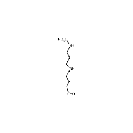 O=CCCCNCCCNC(=O)O